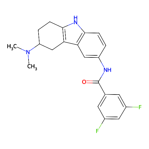 CN(C)C1CCc2[nH]c3ccc(NC(=O)c4cc(F)cc(F)c4)cc3c2C1